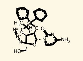 CC(C)(C)[Si](O[C@H]1[C@H](n2ccc(N)nc2=O)O[C@@](CO)(N=[N+]=[N-])[C@H]1F)(c1ccccc1)c1ccccc1